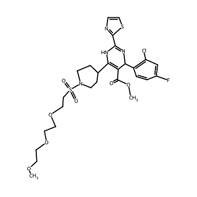 COCCOCCOCCS(=O)(=O)N1CCC(C2=C(C(=O)OC)C(c3ccc(F)cc3Cl)N=C(c3nccs3)N2)CC1